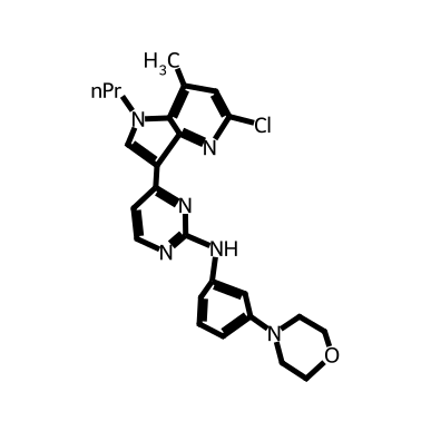 CCCn1cc(-c2ccnc(Nc3cccc(N4CCOCC4)c3)n2)c2nc(Cl)cc(C)c21